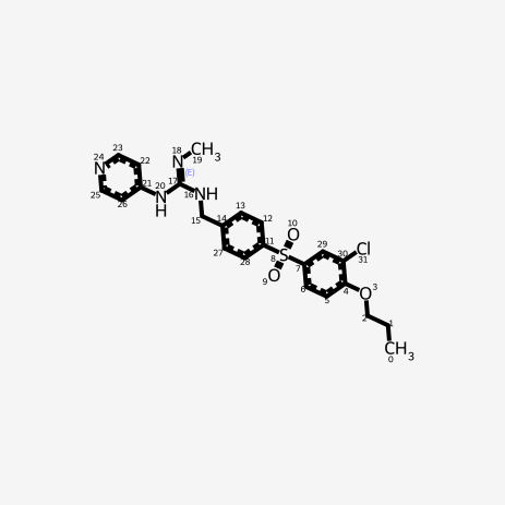 CCCOc1ccc(S(=O)(=O)c2ccc(CN/C(=N\C)Nc3ccncc3)cc2)cc1Cl